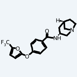 O=C(N[C@@H]1C[C@@H]2CCN(C2)C1)c1ccc(Oc2ccc(C(F)(F)F)o2)cc1